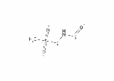 CS(=O)(=O)CN[C]=O